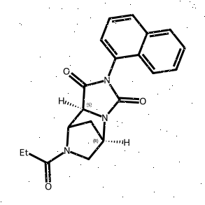 CCC(=O)N1C[C@H]2CC1[C@H]1C(=O)N(c3cccc4ccccc34)C(=O)N21